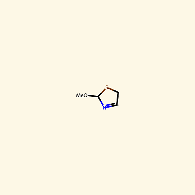 COC1N=[C]CS1